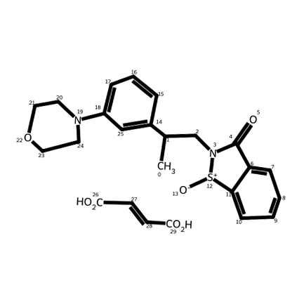 CC(Cn1c(=O)c2ccccc2[s+]1[O-])c1cccc(N2CCOCC2)c1.O=C(O)C=CC(=O)O